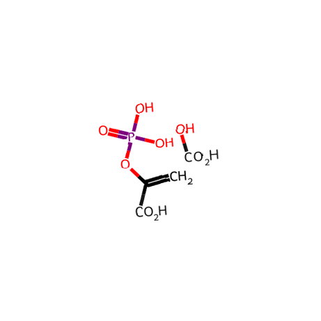 C=C(OP(=O)(O)O)C(=O)O.O=C(O)O